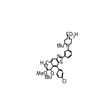 COC(=O)C(OC(C)(C)C)c1c(C)cc2nc(-c3cccc(N4CCN(C(=O)O)CC4C(C)(C)C)c3)sc2c1-c1ccc(Cl)cc1